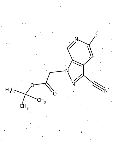 CC(C)(C)OC(=O)Cn1nc(C#N)c2cc(Cl)ncc21